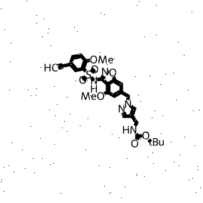 C#Cc1ccc(OC)c(S(=O)(=O)Nc2noc3cc(Cn4cc(CNC(=O)OC(C)(C)C)cn4)cc(OC)c23)c1